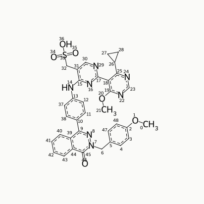 COc1ccc(Cn2nc(-c3ccc(Nc4nc(-c5c(OC)ncnc5C5CC5)ncc4CS(=O)(=O)O)cc3)c3ccccc3c2=O)cc1